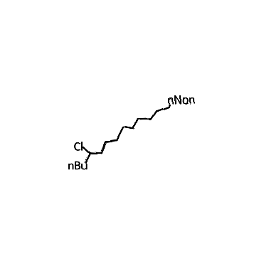 CCCCCCCCCCCCCCCCCCC(Cl)CCCC